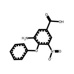 Nc1cc(C(=O)O)cc([N+](=O)[O-])c1Oc1ccccc1